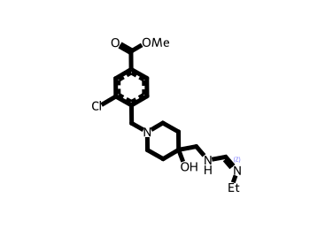 CC/N=C\NCC1(O)CCN(Cc2ccc(C(=O)OC)cc2Cl)CC1